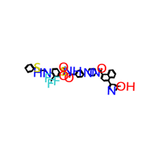 O=C(NS(=O)(=O)c1ccc(NCCSc2ccccc2)c(C(F)(F)F)c1)c1ccc(N2CCN(C(=O)c3ccc(-c4cncc(O)c4)c4ccccc34)CC2)cc1